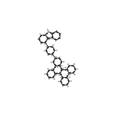 c1ccc2c(c1)sc1cccc(-c3ccc(-c4ccc5c(c4)c4ccccc4c4c6ccccc6c6ccccc6c54)cc3)c12